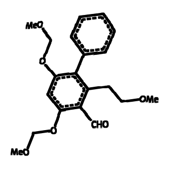 COCCc1c(C=O)c(OCOC)cc(OCOC)c1-c1ccccc1